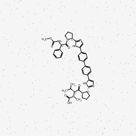 COC(=O)N[C@@H](C(=O)N1CCC[C@H]1c1ncc(-c2ccc(-c3ccc(-c4cnc([C@@H]5CCCN5C(=O)[C@H](C(C)C)N(C)C(=O)O)[nH]4)cc3)cc2)[nH]1)c1ccccc1